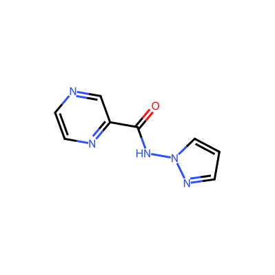 O=C(Nn1cccn1)c1cnccn1